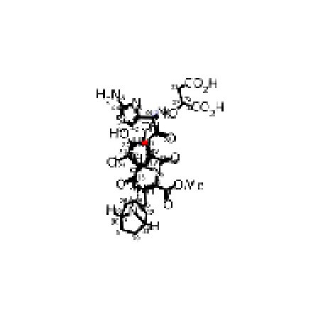 COC(=O)C1=C(C[N+]2(C)[C@@H]3CC[C@H]2C[C@@H](NC(=O)c2ccc(O)c(O)c2Cl)C3)CS[C@@H]2[C@H](NC(=O)/C(=N\O[C@@H](CC(=O)O)C(=O)O)c3csc(N)n3)C(=O)N12